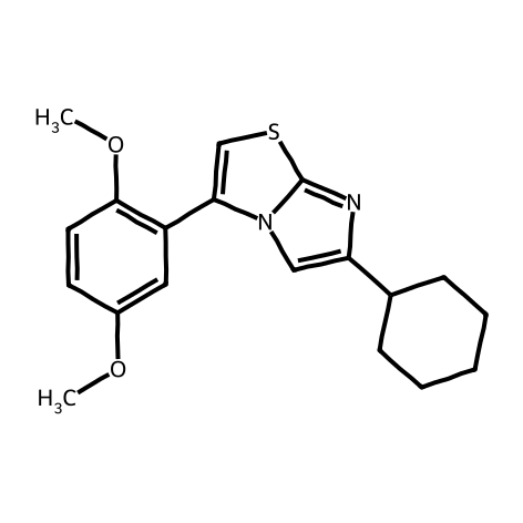 COc1ccc(OC)c(-c2csc3nc(C4CCCCC4)cn23)c1